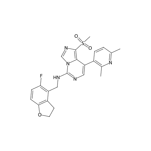 Cc1ccc(-c2cnc(NCc3c(F)ccc4c3CCO4)n3cnc(S(C)(=O)=O)c23)c(C)n1